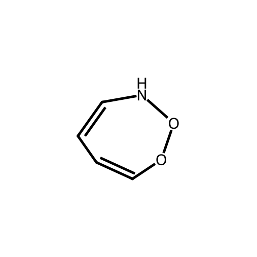 c1ccoo[nH]c1